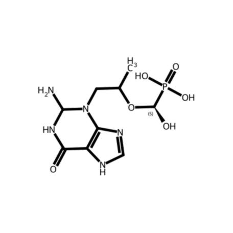 CC(CN1c2nc[nH]c2C(=O)NC1N)O[C@H](O)P(=O)(O)O